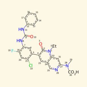 CCn1c(=O)c(-c2cc(NC(=O)Nc3ccccc3)c(F)cc2Cl)cc2cnc(N(C)C(=O)O)cc21